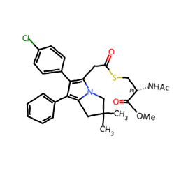 COC(=O)[C@H](CSC(=O)Cc1c(-c2ccc(Cl)cc2)c(-c2ccccc2)c2n1CC(C)(C)C2)NC(C)=O